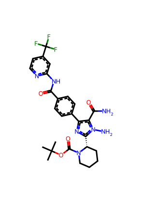 CC(C)(C)OC(=O)N1CCCC[C@H]1c1nc(-c2ccc(C(=O)Nc3cc(C(F)(F)F)ccn3)cc2)c(C(N)=O)n1N